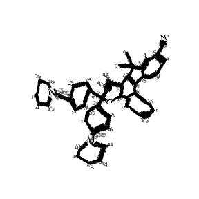 CC1(C)c2cc(C#N)ccc2-c2c1c1c(c3ccccc23)OC(c2ccc(N3CCCCC3)cc2)(c2ccc(N3CCCCC3)cc2)C=C1